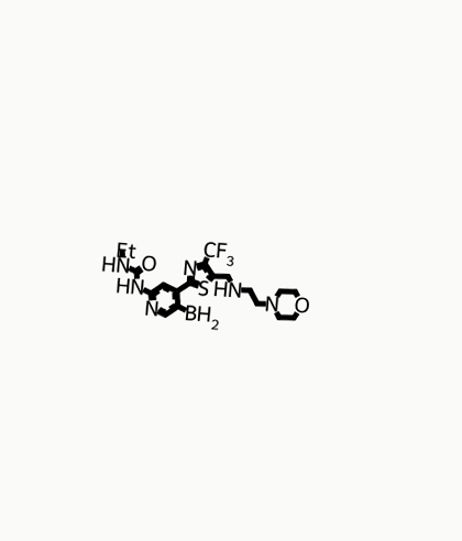 Bc1cnc(NC(=O)NCC)cc1-c1nc(C(F)(F)F)c(CNCCN2CCOCC2)s1